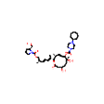 C/C(=C\C=C\[C@@H](C)COC(=O)N1CCC[C@H]1CO)[C@H]1OC(=O)C[C@H](O)CC[C@@](C)(O)[C@@H](OC(=O)N2CCN(C3CCCCCC3)CC2)/C=C/[C@@H]1C